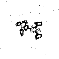 CC1(C)c2ccccc2-n2c3ccccc3c3cc(-c4nc(-c5ccccc5)nc(-c5ccccc5)n4)cc(c32)C1(C)C